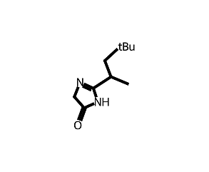 CC(CC(C)(C)C)C1=NCC(=O)N1